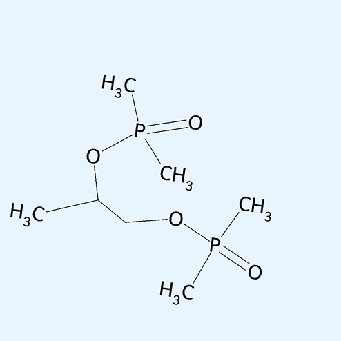 CC(COP(C)(C)=O)OP(C)(C)=O